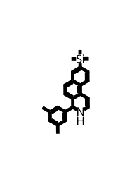 Cc1cc(C)cc(C2NC=Cc3c2ccc2cc([Si](C)(C)C)ccc32)c1